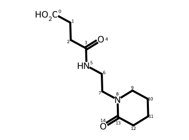 O=C(O)CCC(=O)NCCN1CCCCC1=O